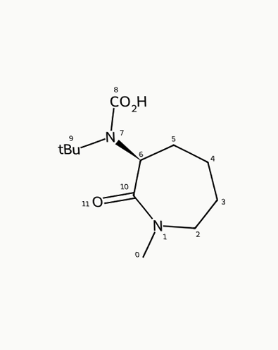 CN1CCCC[C@H](N(C(=O)O)C(C)(C)C)C1=O